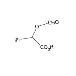 CC(C)C(OC=O)C(=O)O